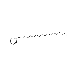 CCCCCCCCCCCCCCCC[C]1C=CCCC1